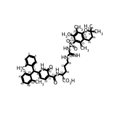 Cc1ccccc1C(c1ccc(C(=O)N[C@@H](CCCNC(=N)NS(=O)(=O)c2c(C)c(C)c3c(c2C)CCC(C)(C)O3)C(=O)O)c(=O)[nH]1)c1ccccc1C